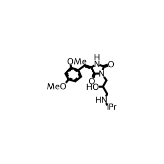 COc1ccc(C=C2NC(=O)N(CC(O)CNC(C)C)C2=O)c(OC)c1